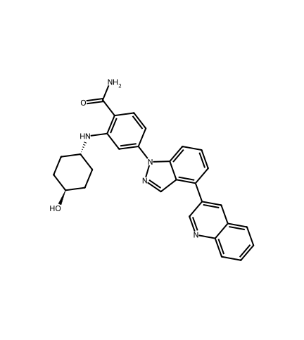 NC(=O)c1ccc(-n2ncc3c(-c4cnc5ccccc5c4)cccc32)cc1N[C@H]1CC[C@H](O)CC1